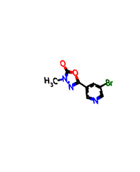 Cn1nc(-c2cncc(Br)c2)oc1=O